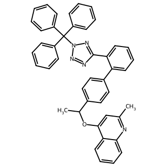 Cc1cc(OC(C)c2ccc(-c3ccccc3-c3nnn(C(c4ccccc4)(c4ccccc4)c4ccccc4)n3)cc2)c2ccccc2n1